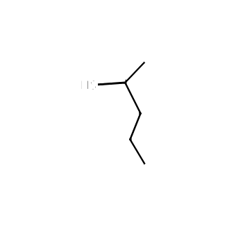 CCC[C](C)S